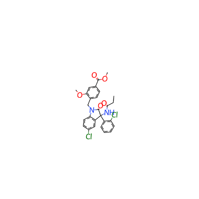 CCC(=O)NC1(c2ccccc2Cl)C(=O)N(Cc2ccc(C(=O)OC)cc2OC)c2ccc(Cl)cc21